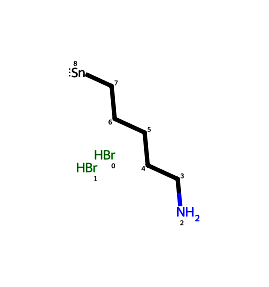 Br.Br.NCCCC[CH2][Sn]